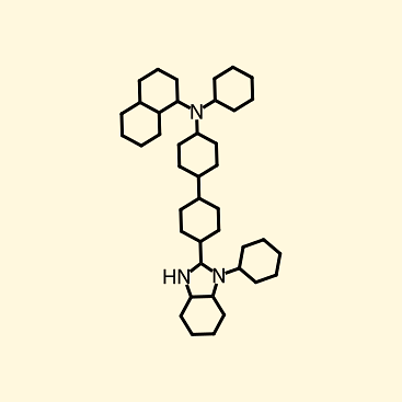 C1CCC(N(C2CCC(C3CCC(C4NC5CCCCC5N4C4CCCCC4)CC3)CC2)C2CCCC3CCCCC32)CC1